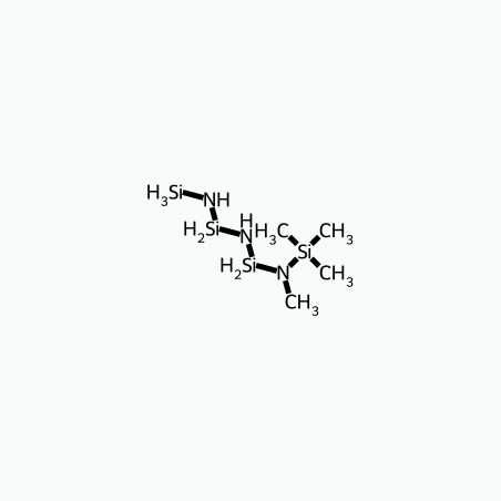 CN([SiH2]N[SiH2]N[SiH3])[Si](C)(C)C